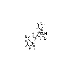 CCC(NC(=O)c1cc(=O)[nH]c(-c2ccccc2)n1)c1ccc(C(C)(C)C)cc1